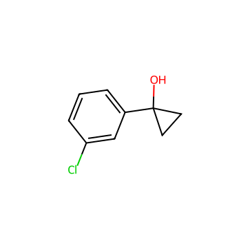 OC1(c2cccc(Cl)c2)CC1